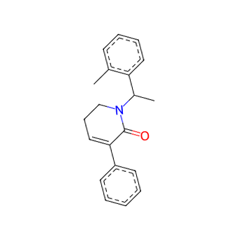 Cc1ccccc1C(C)N1CCC=C(c2ccccc2)C1=O